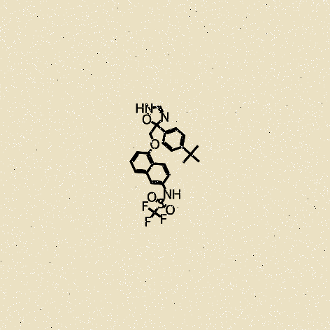 CC(C)(C)c1ccc(C2(COc3cccc4cc(NS(=O)(=O)C(F)(F)F)ccc34)N=CNO2)cc1